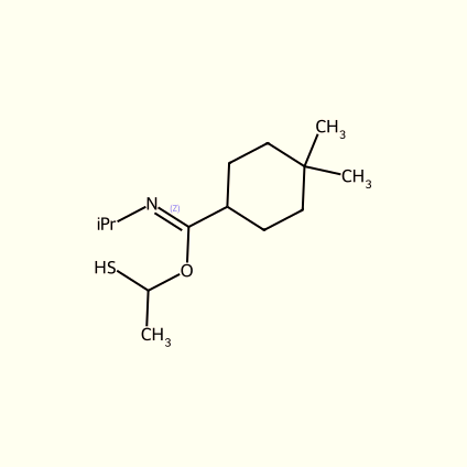 CC(C)/N=C(\OC(C)S)C1CCC(C)(C)CC1